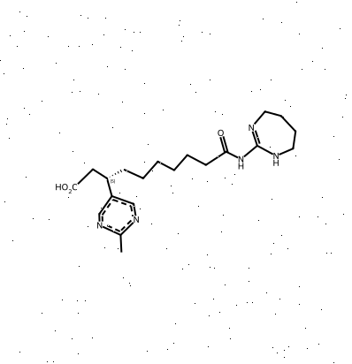 Cc1ncc([C@@H](CCCCCCC(=O)NC2=NCCCCN2)CC(=O)O)cn1